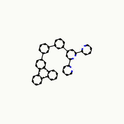 c1ccc(-c2cc(-c3cccc(-c4cccc(-c5ccc6c7ccccc7c7ccccc7c6c5)c4)c3)cc(-c3ccccn3)n2)nc1